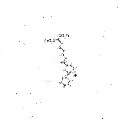 CCOC(=O)C(=CSCOCNc1ccc(F)c(-c2ccccc2)c1)C(=O)OCC